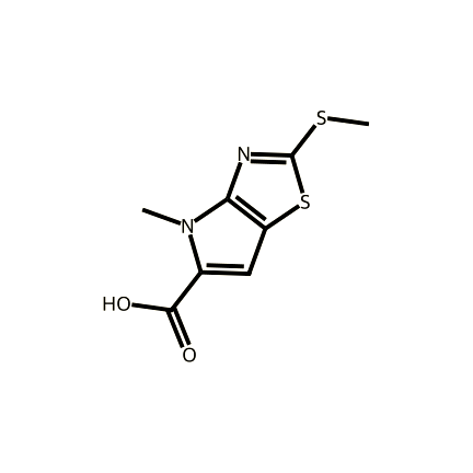 CSc1nc2c(cc(C(=O)O)n2C)s1